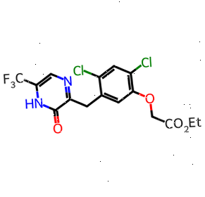 CCOC(=O)COc1cc(Cc2ncc(C(F)(F)F)[nH]c2=O)c(Cl)cc1Cl